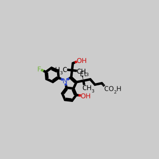 CC[C@@](C)(CCCC(=O)O)c1c(C(C)(C)CO)n(-c2ccc(F)cc2)c2cccc(O)c12